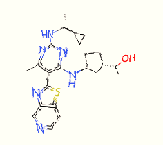 Cc1nc(N[C@H](C)C2CC2)nc(N[C@H]2CC[C@H](C(C)O)C2)c1-c1nc2cnccc2s1